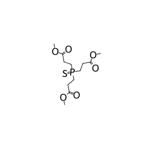 COC(=O)CCP(=S)(CCC(=O)OC)CCC(=O)OC